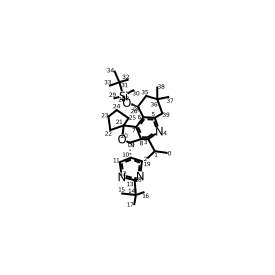 CC(C)c1nc2c(c3c1[C@H](c1cnc(C(C)(C)C)nc1)OC31CCCC1)[C@@H](O[Si](C)(C)C(C)(C)C)CC(C)(C)C2